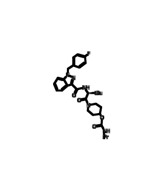 CC(C)NC(=O)OC1CCN(C(=O)[C@@H](NC(=O)c2nn(Cc3ccc(F)cc3)c3ccccc23)C(C)(C)C)CC1